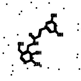 Cc1ncc(CO)c(CNC(=O)C=Cc2cc(O)cc(O)c2)c1O